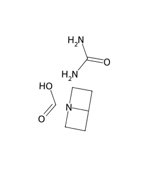 C1CN2CCC12.NC(N)=O.O=CO